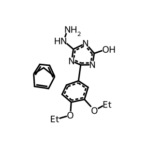 C1=CC2=CC=C1C2.CCOc1ccc(-c2nc(O)nc(NN)n2)cc1OCC